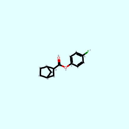 O=C(Oc1ccc(F)cc1)C1CC2[CH]CC1C2